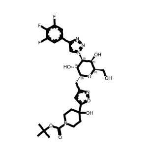 CC(C)(C)OC(=O)N1CCC(O)(c2cc(C[C@H]3O[C@H](CO)[C@H](O)[C@H](n4cc(-c5cc(F)c(F)c(F)c5)nn4)[C@H]3O)no2)CC1